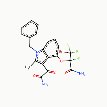 Cc1c(C(=O)C(N)=O)c2c(OC(F)(C(N)=O)C(F)(F)Br)cccc2n1Cc1ccccc1